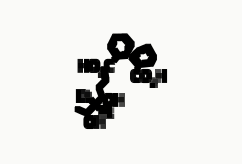 C=CCC(O)C(CC)(CC)C(C)O.O=C(O)c1ccccc1.O=C(O)c1ccccc1